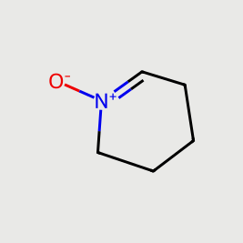 [O-][N+]1=CCCCC1